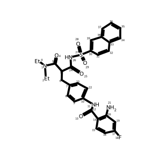 CCN(CC)C(=O)C(Cc1ccc(NC(=O)c2ccc(F)cc2N)cc1)C(=O)NS(=O)(=O)c1ccc2ccccc2c1